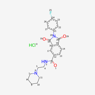 Cl.O=C(NCCN1CCCCC1)c1ccc2c(c1)C(=O)N(c1ccc(F)cc1)C2=O